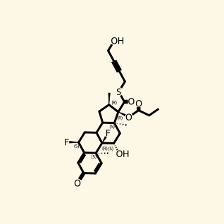 CCC(=O)O[C@]1(C(=O)SCC#CCO)[C@H](C)CC2C3C[C@H](F)C4=CC(=O)C=C[C@]4(C)[C@@]3(F)[C@@H](O)C[C@@]21C